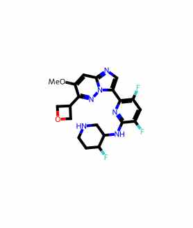 COc1cc2ncc(-c3nc(NC4CNCCC4F)c(F)cc3F)n2nc1C1COC1